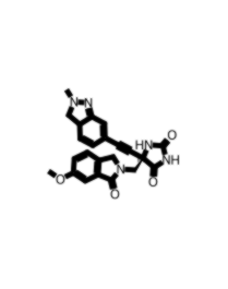 COc1ccc2c(c1)C(=O)N(C[C@@]1(C#CC3=CC4=NN(C)CC4C=C3)NC(=O)NC1=O)C2